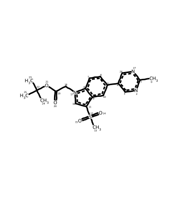 Cc1ncc(-c2ccc3c(c2)c(S(C)(=O)=O)cn3CC(=O)OC(C)(C)C)cn1